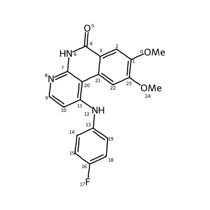 COc1cc2c(=O)[nH]c3nccc(Nc4ccc(F)cc4)c3c2cc1OC